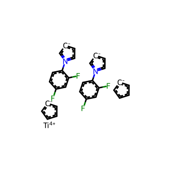 Fc1ccc(-n2c[c-]cc2)c(F)c1.Fc1ccc(-n2c[c-]cc2)c(F)c1.[Ti+4].c1cc[cH-]c1.c1cc[cH-]c1